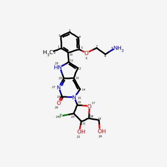 Cc1cccc(OCCN)c1-c1cc2cn(C3OC(CO)C(O)C3F)c(=O)nc2[nH]1